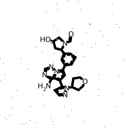 Nc1ncnn2c(-c3cccc(C4C[C@@H](O)CN4C=O)c3)cc(-c3ccnn3C3CCOCC3)c12